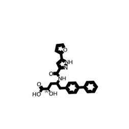 O=C(NC(Cc1ccc(-c2ccccc2)cc1)C[C@@H](O)C(=O)O)c1cc(-c2ccco2)[nH]n1